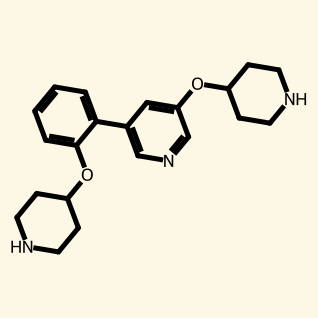 c1ccc(-c2cncc(OC3CCNCC3)c2)c(OC2CCNCC2)c1